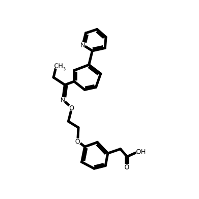 CCC(=NOCCOc1cccc(CC(=O)O)c1)c1cccc(-c2ccccn2)c1